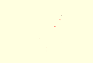 Cc1cc(Nc2cc(C)[nH]n2)nc(-c2ccc(N3CC4CC(C3)N4Cc3ccc(-c4ncc(C)s4)cc3)nc2)n1